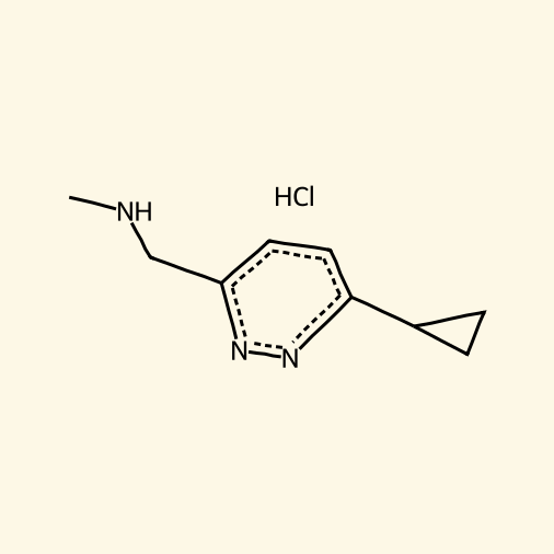 CNCc1ccc(C2CC2)nn1.Cl